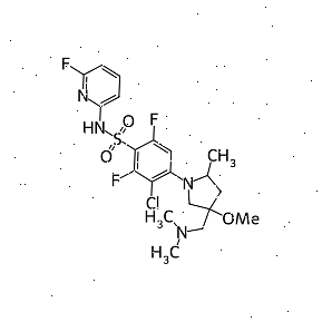 COC1(CN(C)C)CC(C)N(c2cc(F)c(S(=O)(=O)Nc3cccc(F)n3)c(F)c2Cl)C1